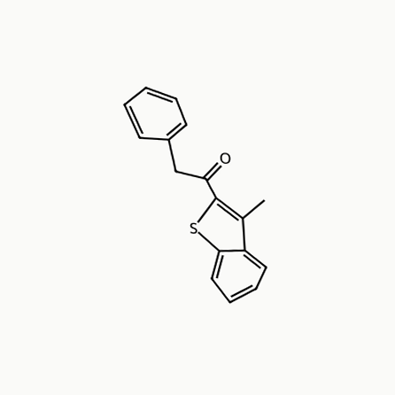 Cc1c(C(=O)Cc2ccccc2)sc2ccccc12